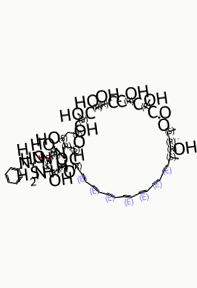 C[C@@H]1[C@H](O)[C@@H](C)/C=C/C=C/C=C/C=C/C=C/C=C/C=C/[C@H](O[C@@H]2O[C@H](C)[C@@H](O)[C@H](N)[C@@H]2O)C[C@@H]2O[C@](O)(C[C@@H](O)C[C@@H](O)[C@H](O)CC[C@@H](O)C[C@@H](O)CC(=O)O[C@H]1C)C[C@H](O)[C@H]2NC(=O)NNC(=S)Nc1ccccc1